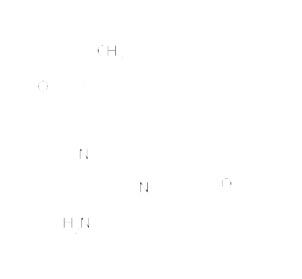 CC(=O)c1cc(-c2ccco2)nc(N)n1